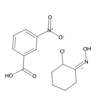 O/N=C1/CCCCC1Cl.O=C(O)c1cccc([N+](=O)[O-])c1